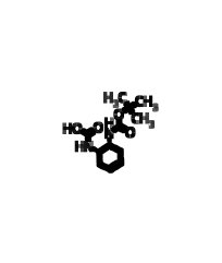 CC(C)(C)OC(=O)N[C@H]1CC=CC[C@H]1NC(=O)O